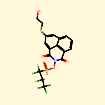 O=C1c2cccc3cc(SCCO)cc(c23)C(=O)N1OS(=O)(=O)C(F)(F)C(F)(F)C(F)(F)F